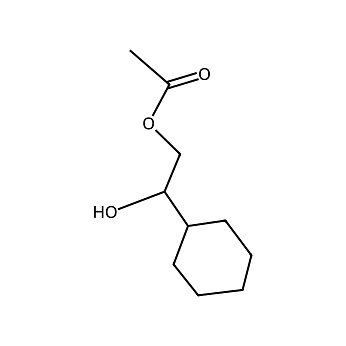 CC(=O)OCC(O)C1CCCCC1